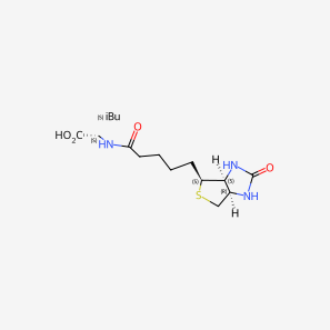 CC[C@H](C)[C@H](NC(=O)CCCC[C@@H]1SC[C@@H]2NC(=O)N[C@@H]21)C(=O)O